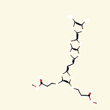 COC(=O)CCSC1=C(SCCC(=O)OC)SC(=CC=C2SC3=C(S2)SC(=C2SC(S)=C(S)S2)S3)S1